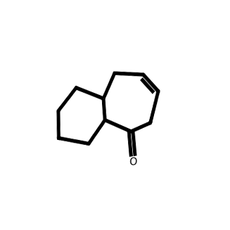 O=C1CC=CCC2CCCCC12